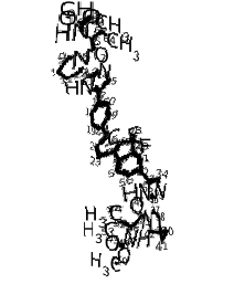 COC(=O)N[C@H](C(=O)N1CCC[C@H]1c1ncc(-c2ccc(-c3ccc4c(c3)C(F)(F)c3cc(-c5cnc([C@@H]6CC7(CC7)CN6C(=O)[C@@H](NC(=O)OC)C(C)C)[nH]5)ccc3-4)cc2)[nH]1)C(C)C